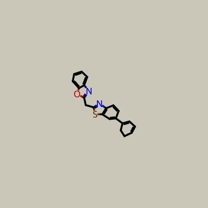 C1=CCCC(c2ccc3nc(Cc4nc5ccccc5o4)sc3c2)=C1